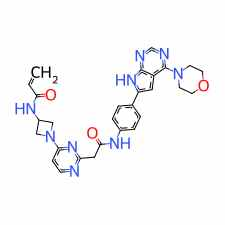 C=CC(=O)NC1CN(c2ccnc(CC(=O)Nc3ccc(-c4cc5c(N6CCOCC6)ncnc5[nH]4)cc3)n2)C1